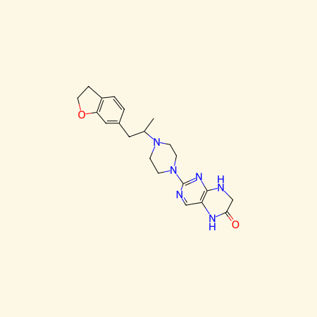 CC(Cc1ccc2c(c1)OCC2)N1CCN(c2ncc3c(n2)NCC(=O)N3)CC1